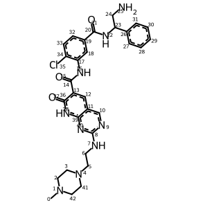 CN1CCN(CCNc2ncc3cc(C(=O)Nc4cc(C(=O)NC(CN)c5ccccc5)ccc4Cl)c(=O)[nH]c3n2)CC1